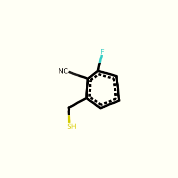 N#Cc1c(F)cccc1CS